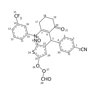 N#Cc1ccc(C(C2=C(N(N=O)c3cccc(C(F)(F)F)c3)CCCC2=O)c2csc(OOC=O)c2)cc1